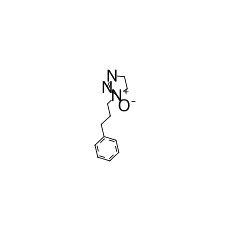 [O-][N+]1(CCCc2ccccc2)CCN=N1